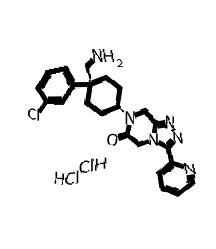 Cl.Cl.NC[C@]1(c2cccc(Cl)c2)CC[C@@H](N2Cc3nnc(-c4ccccn4)n3CC2=O)CC1